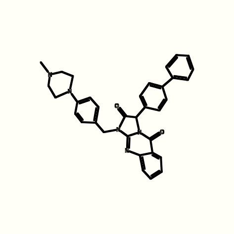 CN1CCN(c2ccc(CN3C(=O)C(c4ccc(-c5ccccc5)cc4)n4c3nc3ccccc3c4=O)cc2)CC1